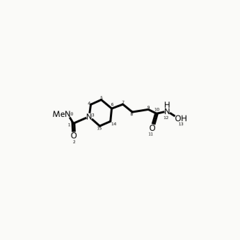 CNC(=O)N1CCC(CCCC(=O)NO)CC1